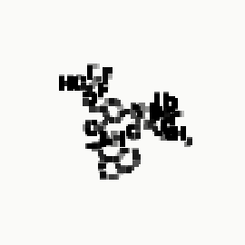 Cc1ccc(NC(=O)[C@H](CN)NS(C)(=O)=O)cc1C(=O)N[C@H](C)c1cccc2ccccc12.O=C(O)C(F)(F)F